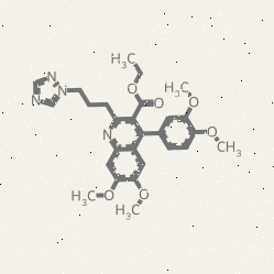 CCOC(=O)c1c(CCCn2cncn2)nc2cc(OC)c(OC)cc2c1-c1ccc(OC)c(OC)c1